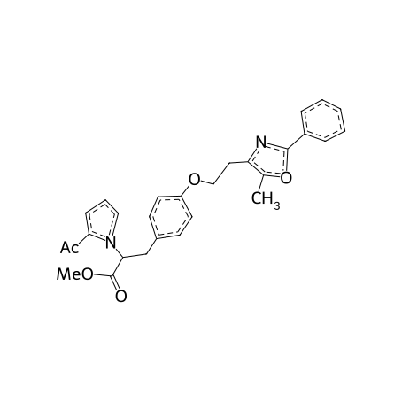 COC(=O)C(Cc1ccc(OCCc2nc(-c3ccccc3)oc2C)cc1)n1cccc1C(C)=O